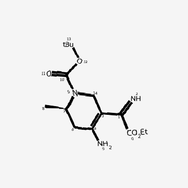 CCOC(=O)C(=N)C1=C(N)C[C@@H](C)N(C(=O)OC(C)(C)C)C1